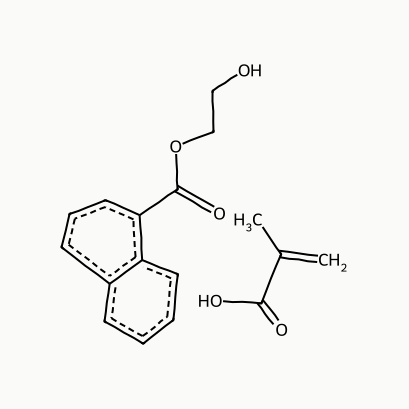 C=C(C)C(=O)O.O=C(OCCO)c1cccc2ccccc12